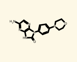 Nc1cnc2c(n1)[nH]c(=O)n2-c1ccc(N2CCOCC2)cc1